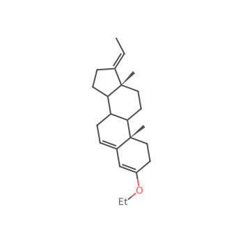 C/C=C1\CCC2C3CC=C4C=C(OCC)CC[C@@]4(C)C3CC[C@@]12C